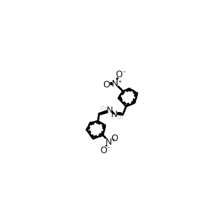 O=[N+]([O-])c1cccc(/C=N\N=C/c2cccc([N+](=O)[O-])c2)c1